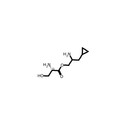 NC(COC(=O)[C@@H](N)CO)CC1CC1